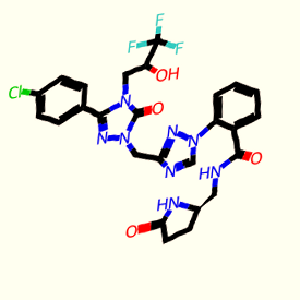 O=C1CC[C@H](CNC(=O)c2ccccc2-n2cnc(Cn3nc(-c4ccc(Cl)cc4)n(CC(O)C(F)(F)F)c3=O)n2)N1